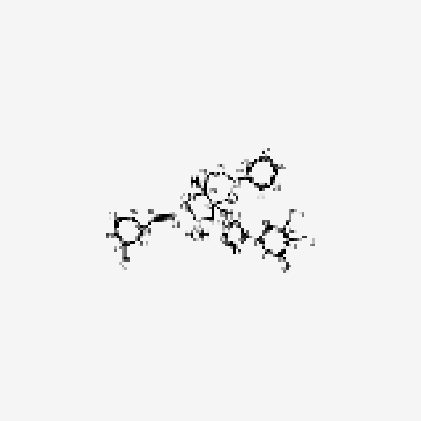 O[C@@H]1[C@@H](n2cc(-c3cc(F)c(F)c(F)c3)nn2)[C@H]2OC(c3ccccc3)OC[C@H]2O[C@H]1C#Cc1cccc(Cl)c1